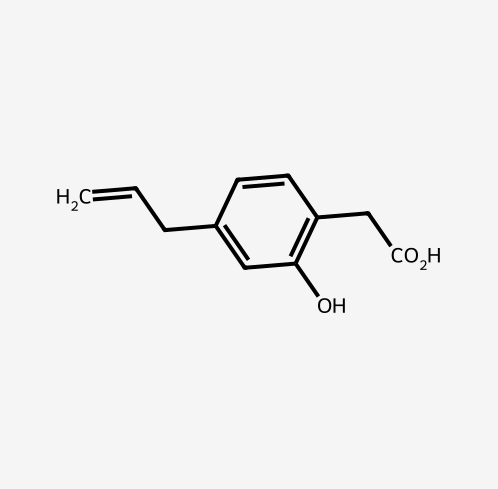 C=CCc1ccc(CC(=O)O)c(O)c1